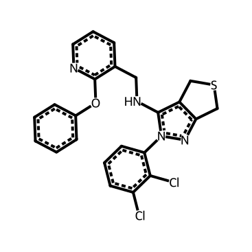 Clc1cccc(-n2nc3c(c2NCc2cccnc2Oc2ccccc2)CSC3)c1Cl